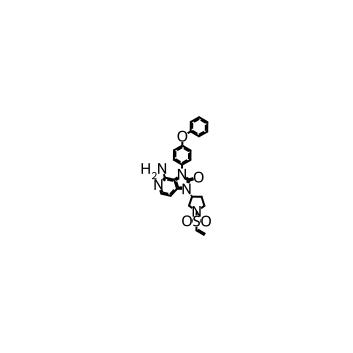 C=CS(=O)(=O)N1CC[C@@H](n2c(=O)n(-c3ccc(Oc4ccccc4)cc3)c3c(N)nccc32)C1